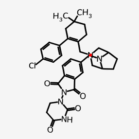 CC1(C)CCC(CN2CC3CCC(C2)N3Cc2ccc3c(c2)C(=O)N(N2CCC(=O)NC2=O)C3=O)=C(c2ccc(Cl)cc2)C1